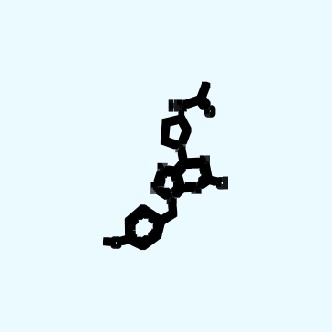 COc1ccc(Cn2nnc3c(N4CC[C@H](NC(C)=O)C4)nc(Cl)nc32)cc1